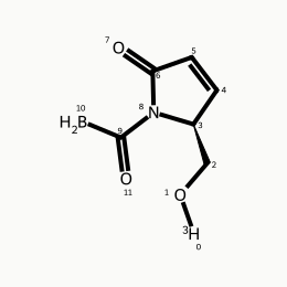 [3H]OC[C@@H]1C=CC(=O)N1C(B)=O